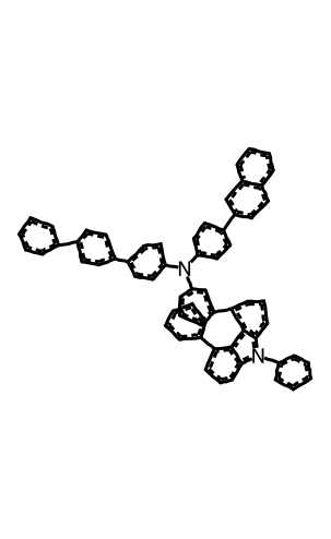 c1ccc(-c2ccc(-c3ccc(N(c4ccc(-c5ccc6ccccc6c5)cc4)c4cccc(-c5cccc6c5c5c(-c7ccccc7)cccc5n6-c5ccccc5)c4)cc3)cc2)cc1